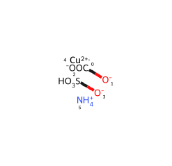 O=C([O-])[O-].O=S(=O)([O-])O.[Cu+2].[NH4+]